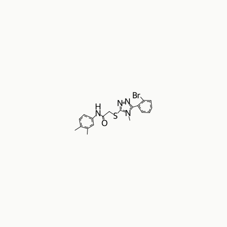 Cc1ccc(NC(=O)CSc2nnc(-c3ccccc3Br)n2C)cc1C